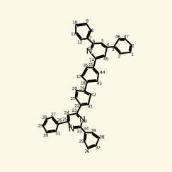 c1ccc(-c2cc(-c3ccccc3)nc(-c3ccc(-c4ccc(-c5cc(-c6ccccc6)nc(-c6ccccc6)n5)cc4)cc3)c2)cc1